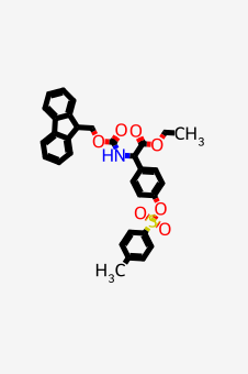 CCOC(=O)C(NC(=O)OCC1c2ccccc2-c2ccccc21)c1ccc(OS(=O)(=O)c2ccc(C)cc2)cc1